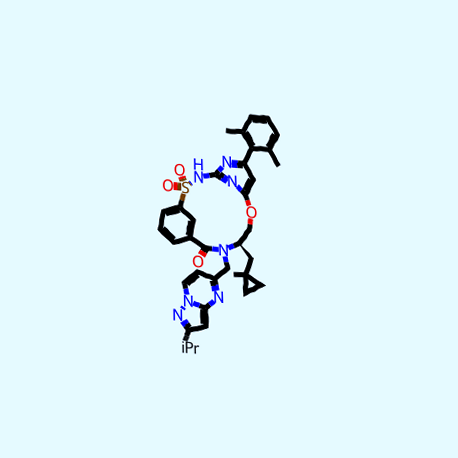 Cc1cccc(C)c1-c1cc2nc(n1)NS(=O)(=O)c1cccc(c1)C(=O)N(Cc1ccn3nc(C(C)C)cc3n1)[C@H](CC1(C)CC1)CO2